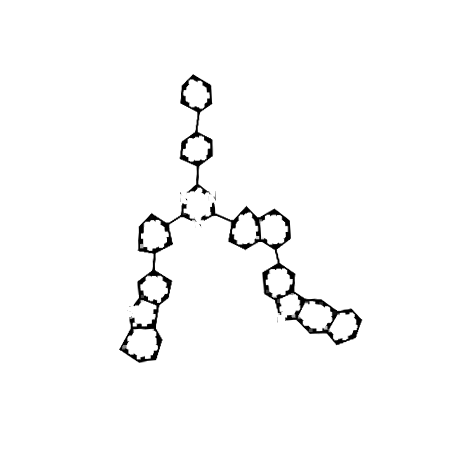 c1ccc(-c2ccc(-c3nc(-c4cccc(-c5ccc6c(c5)sc5ccccc56)c4)nc(-c4ccc5c(-c6ccc7oc8cc9ccccc9cc8c7c6)cccc5c4)n3)cc2)cc1